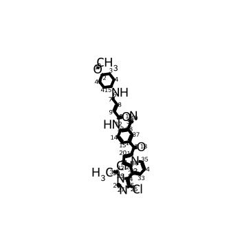 COC1CCC(NC/C=C/C(=O)Nc2ccc(C(=O)c3ccc4c(-c5c(Cl)ncn5C(C)C)cccn34)cc2C#N)CC1